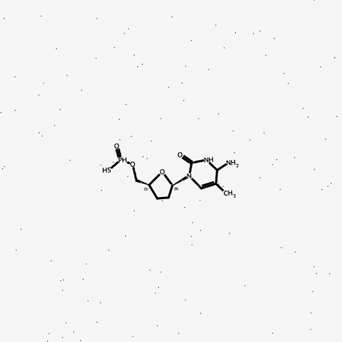 CC1=CN([C@H]2CC[C@@H](CO[PH](=O)S)O2)C(=O)NC1N